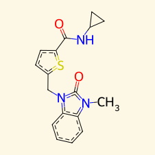 Cn1c(=O)n(Cc2ccc(C(=O)NC3CC3)s2)c2ccccc21